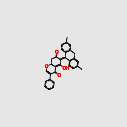 Cc1ccc2c(c1)Cc1cc(C)ccc1C2=C1C(=O)CC2OC=C(c3ccccc3)C(=O)C2=C1O